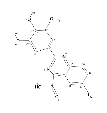 COc1cc(-c2nc(C(=O)O)c3cc(F)ccc3n2)cc(OC)c1OC